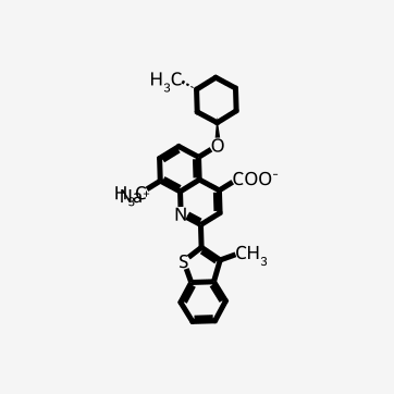 Cc1c(-c2cc(C(=O)[O-])c3c(O[C@@H]4CCC[C@@H](C)C4)ccc(C)c3n2)sc2ccccc12.[Na+]